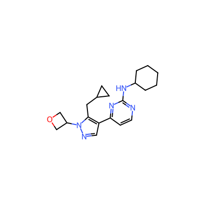 c1cc(-c2cnn(C3COC3)c2CC2CC2)nc(NC2CCCCC2)n1